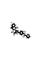 COC(=O)c1sc(-c2ccc(NC(=O)c3cccnn3)cc2)cc1N(CC1CC1)C(=O)[C@H]1CC[C@H](C)CC1